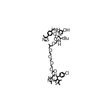 Cc1ncsc1-c1ccc([C@H](C)NC(=O)[C@@H]2C[C@H](O)CN2C(=O)C(NC(=O)COCC(C)COCCOCCOCCOC(=O)C[C@@H]2N=C(c3ccc(Cl)cc3)c3c(sc(C)c3C)-n3c(C)nnc32)C(C)(C)C)cc1